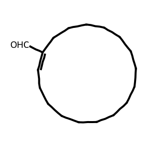 O=CC1=CCCCCCCCCCCCCCCC1